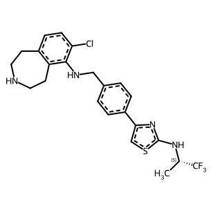 C[C@H](Nc1nc(-c2ccc(CNc3c(Cl)ccc4c3CCNCC4)cc2)cs1)C(F)(F)F